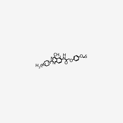 Cc1nc(N2CCN(C)CC2)nc2ccc(NC(=O)COc3ccc(OC=S)cc3)cc12